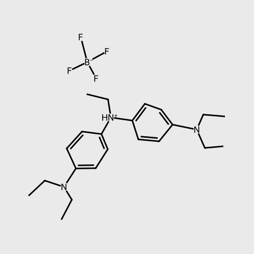 CCN(CC)c1ccc([NH+](CC)c2ccc(N(CC)CC)cc2)cc1.F[B-](F)(F)F